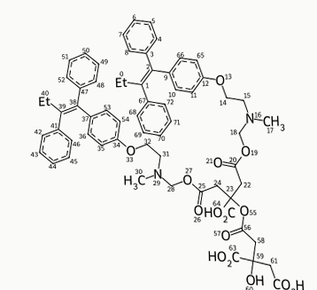 CC/C(=C(\c1ccccc1)c1ccc(OCCN(C)COC(=O)CC(CC(=O)OCN(C)CCOc2ccc(/C(=C(/CC)c3ccccc3)c3ccccc3)cc2)(OC(=O)CC(O)(CC(=O)O)C(=O)O)C(=O)O)cc1)c1ccccc1